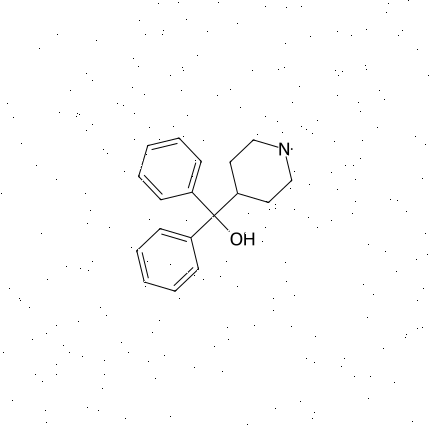 OC(c1ccccc1)(c1ccccc1)C1CC[N]CC1